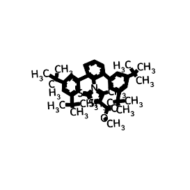 COC(=O)c1sc(=S)n(-c2c(-c3cc(C(C)(C)C)cc(C(C)(C)C)c3)cccc2-c2cc(C(C)(C)C)cc(C(C)(C)C)c2)c1C